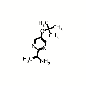 C=C(N)c1ncc(OC(C)(C)C)cn1